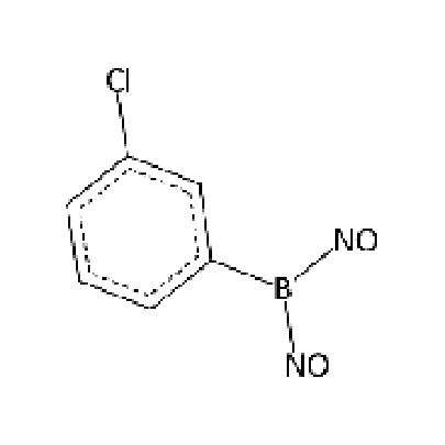 O=NB(N=O)c1cccc(Cl)c1